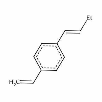 C=Cc1ccc(/C=C/CC)cc1